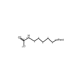 CCCCCCCCCCNC(=O)Cl